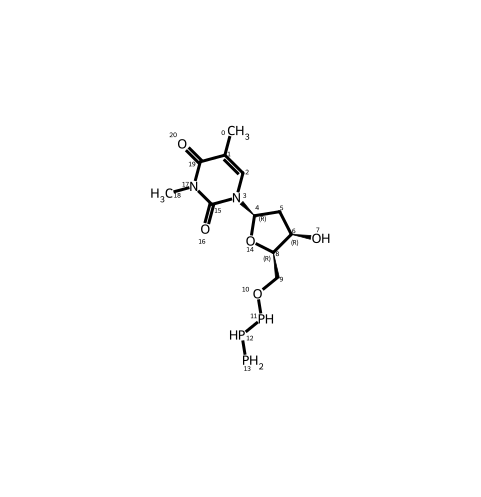 Cc1cn([C@H]2C[C@@H](O)[C@@H](COPPP)O2)c(=O)n(C)c1=O